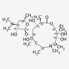 CC[C@H]1OC(=O)[C@H](C)[C@@H](O)C[C@@H](O[C@@H]2O[C@H](C)C[C@H](N(C)C)[C@H]2O)[C@](C)(O)C[C@@H](C)CN(C)[C@H](C)[C@@H](O)[C@]1(C)O